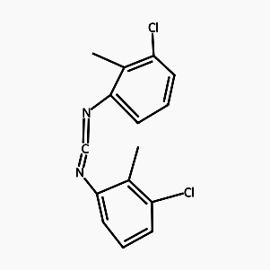 Cc1c(Cl)cccc1N=C=Nc1cccc(Cl)c1C